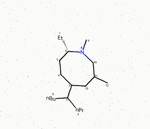 CCCCC(CCC)C1CC[C@H](CC)N(C)CC(C)C1